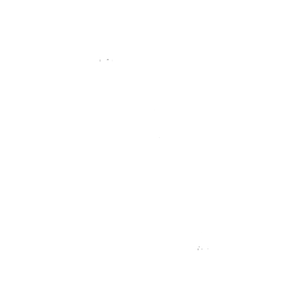 CCCCCCCCCC=COc1ccc(OC(=O)c2ccc(OC(C)CCCCCC)cc2)cc1